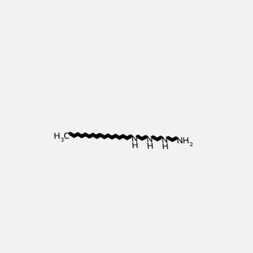 CCCCCCCCC=CCCCCCCCCNCCCNCCCNCCCN